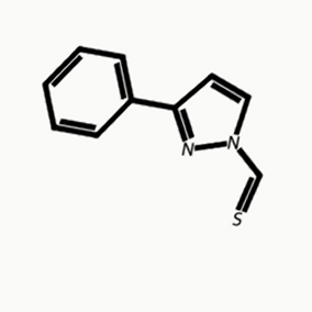 S=Cn1ccc(-c2ccccc2)n1